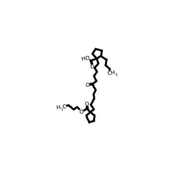 CCCCOC(=O)C1(CCCCCC(=O)CCCCCC2(C(=O)O)CCCC2CCCC)CCCC1